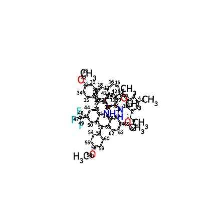 CCc1cc(C)cc(CC)c1NC1c2cccc3cccc(c23)C1Nc1c(C(c2ccc(OC)cc2)c2ccc(OC)cc2)cc(C(F)(F)F)cc1C(c1ccc(OC)cc1)c1ccc(OC)cc1